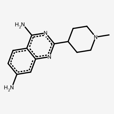 CN1CCC(c2nc(N)c3ccc(N)cc3n2)CC1